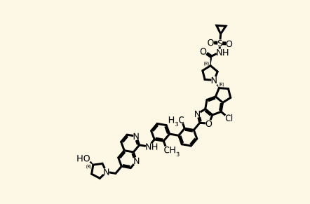 Cc1c(Nc2nccc3cc(CN4CC[C@@H](O)C4)cnc23)cccc1-c1cccc(-c2nc3cc4c(c(Cl)c3o2)CC[C@H]4N2CC[C@@H](C(=O)NS(=O)(=O)C3CC3)C2)c1C